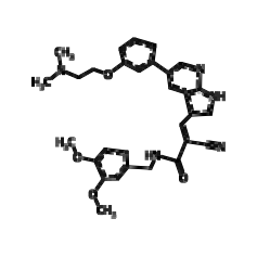 COc1ccc(CNC(=O)/C(C#N)=C/c2c[nH]c3ncc(-c4cccc(OCCN(C)C)c4)cc23)cc1OC